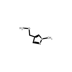 Cn1cc(CON)cn1